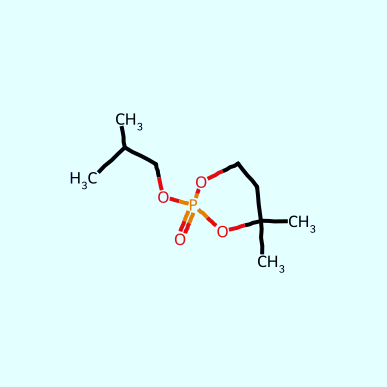 CC(C)COP1(=O)OCCC(C)(C)O1